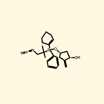 C=C1C[C@@H](O[Si](C2=CCCCC2)(c2ccccc2)C(C)(C)CN=[N+]=[N-])C[C@H]1O